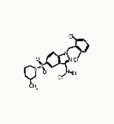 CCN(CC)c1nn(Cc2c(Cl)cccc2Cl)c2ccc(S(=O)(=O)N3CCCC(C)C3)cc12